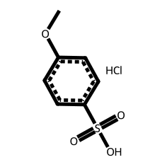 COc1ccc(S(=O)(=O)O)cc1.Cl